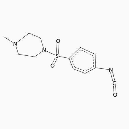 CN1CCN(S(=O)(=O)c2ccc(N=C=O)cc2)CC1